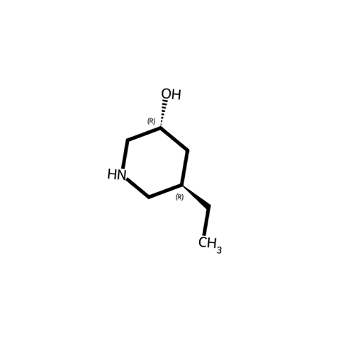 CC[C@H]1CNC[C@H](O)C1